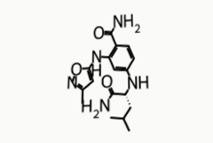 Cc1cc(Nc2cc(N[C@H](CC(C)C)C(N)=O)ccc2C(N)=O)on1